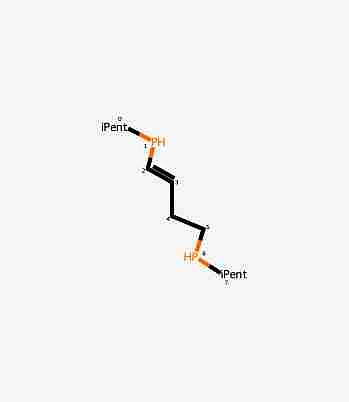 CCCC(C)PC=CCCPC(C)CCC